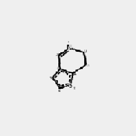 C1=NCCc2sccc21